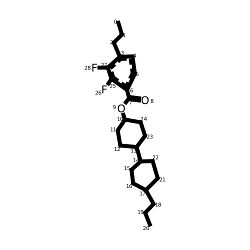 CCCc1ccc(C(=O)OC2CCC(C3CCC(CCC)CC3)CC2)c(F)c1F